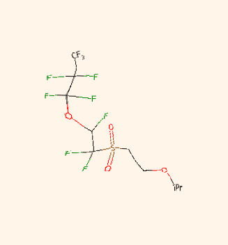 CC(C)OCCS(=O)(=O)C(F)(F)C(F)OC(F)(F)C(F)(F)C(F)(F)F